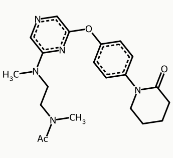 CC(=O)N(C)CCN(C)c1cncc(Oc2ccc(N3CCCCC3=O)cc2)n1